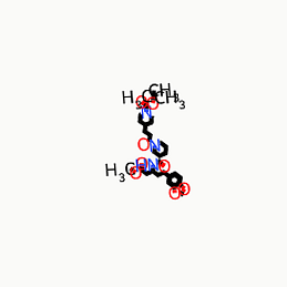 COC(=O)CC(CCc1ccc2c(c1)OCO2)NC(=O)[C@@H]1CCCN(C(=O)CCC2CCN(C(=O)OC(C)(C)C)CC2)C1